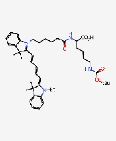 CCN1/C(=C/C=C/C=C/C2=[N+](CCCCCC(=O)NC(CCCCNC(=O)OC(C)(C)C)C(=O)O)c3ccccc3C2(C)C)C(C)(C)c2ccccc21